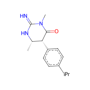 CC(C)c1ccc([C@H]2C(=O)N(C)C(=N)N[C@H]2C)cc1